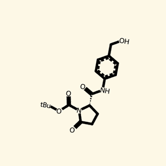 CC(C)(C)OC(=O)N1C(=O)CC[C@H]1C(=O)Nc1ccc(CO)cc1